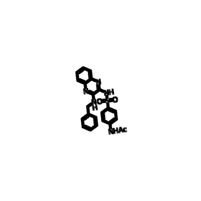 CC(=O)Nc1ccc(S(=O)(=O)Nc2nc3ccccc3nc2NCc2ccccc2)cc1